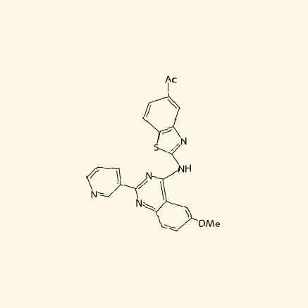 COc1ccc2nc(-c3cccnc3)nc(Nc3nc4cc(C(C)=O)ccc4s3)c2c1